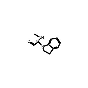 CN[C@H](C=O)N1CCc2ccccc21